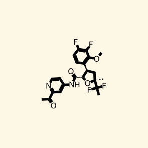 COc1c([C@H]2C[C@@](C)(C(C)(F)F)O[C@@H]2C(=O)Nc2ccnc(C(C)=O)c2)ccc(F)c1F